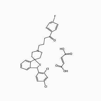 O=C(CCCN1CCC2(CC1)SC(c1ccc(Cl)cc1Cl)c1ccccc12)c1ccc(F)cc1.O=C(O)C=CC(=O)O